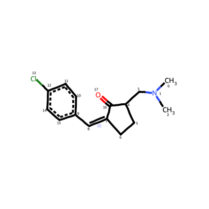 CN(C)CC1CC/C(=C/c2ccc(Cl)cc2)C1=O